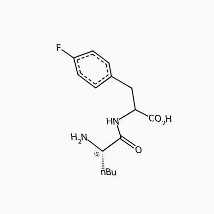 CCCC[C@H](N)C(=O)NC(Cc1ccc(F)cc1)C(=O)O